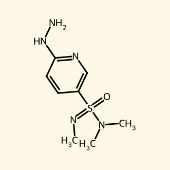 CN=S(=O)(c1ccc(NN)nc1)N(C)C